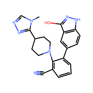 Cn1cnnc1C1CCN(c2c(C#N)cccc2-c2ccc3[nH]nc(O)c3c2)CC1